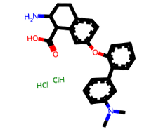 CN(C)c1cccc(-c2ccccc2Oc2ccc3c(c2)C(C(=O)O)C(N)CC3)c1.Cl.Cl